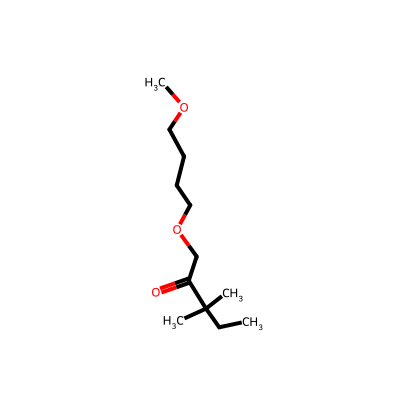 CCC(C)(C)C(=O)COCCCCOC